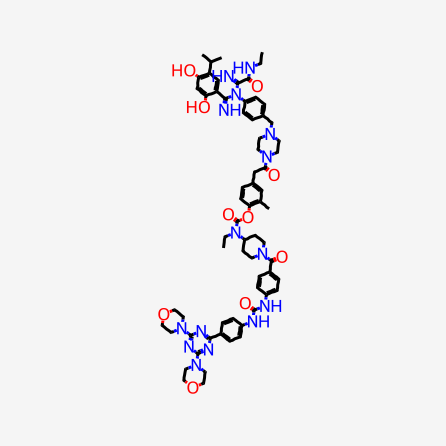 CCNC(=O)C(=N)N(C(=N)c1cc(C(C)C)c(O)cc1O)c1ccc(CN2CCN(C(=O)Cc3ccc(OC(=O)N(CC)C4CCN(C(=O)c5ccc(NC(=O)Nc6ccc(-c7nc(N8CCOCC8)nc(N8CCOCC8)n7)cc6)cc5)CC4)c(C)c3)CC2)cc1